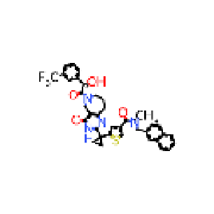 CN(Cc1ccc2ccccc2c1)C(=O)c1csc(C2(c3nc4c(c(=O)[nH]3)CN(C(=O)[C@H](O)c3cccc(C(F)(F)F)c3)CCC4)CC2)c1